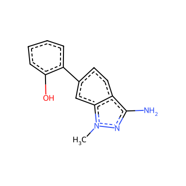 Cn1nc(N)c2ccc(-c3ccccc3O)cc21